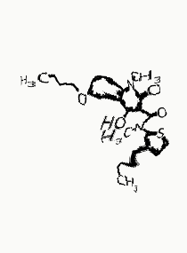 CCCCOc1ccc2c(c1)c(O)c(C(=O)N(C)c1sccc1CCCC)c(=O)n2C